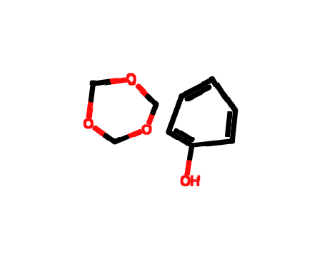 C1OCOCO1.Oc1ccccc1